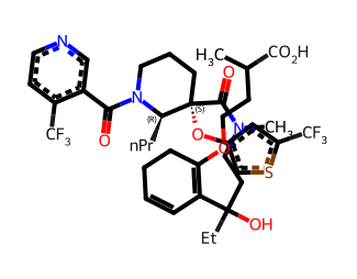 CCC[C@H]1N(C(=O)c2cnccc2C(F)(F)F)CCC[C@@]1(Oc1csc(C(F)(F)F)c1)C(=O)N(C)CCC(O)(CC)C1=C(OCCC(C)C(=O)O)CCC=C1